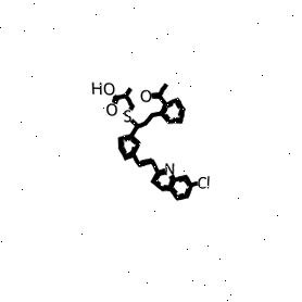 CC(=O)c1ccccc1CCC(SCC(C)C(=O)O)c1cccc(/C=C/c2ccc3ccc(Cl)cc3n2)c1